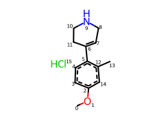 COc1ccc(C2=CCNCC2)c(C)c1.Cl